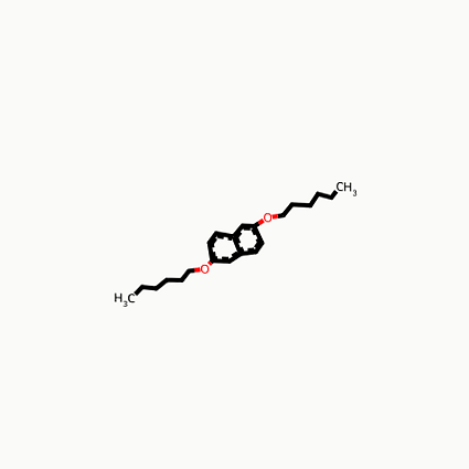 CCCCCCOc1ccc2cc(OCCCCCC)ccc2c1